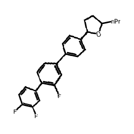 CCCC1CCC(c2ccc(-c3ccc(-c4ccc(F)c(F)c4)c(F)c3)cc2)O1